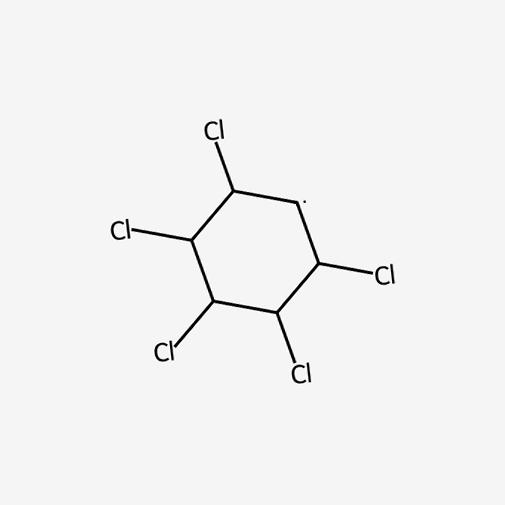 ClC1[CH]C(Cl)C(Cl)C(Cl)C1Cl